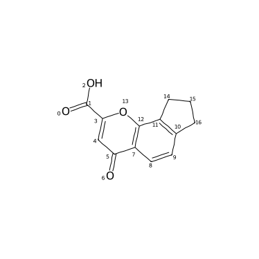 O=C(O)c1cc(=O)c2ccc3c(c2o1)CCC3